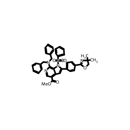 COC(=O)c1cnc(N(Cc2ccccc2)Cc2ccccc2)c2c1cc(-c1ccc(C3=NC(C)(C)CO3)cc1OC)n2S(=O)(=O)c1ccccc1